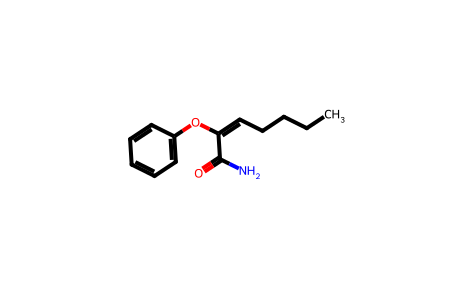 CCCC/C=C(/Oc1ccccc1)C(N)=O